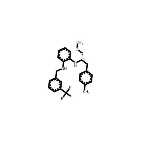 COC[C@H](Cc1ccc(C)cc1)Nc1ccccc1NCc1cccc(C(F)(F)F)c1